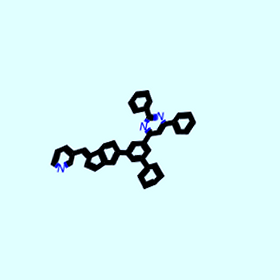 C1=Cc2cc(-c3cc(-c4ccccc4)cc(-c4cc(-c5ccccc5)nc(-c5ccccc5)n4)c3)ccc2/C1=C/c1cccnc1